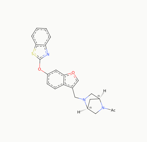 CC(=O)N1C[C@@H]2C[C@H]1CN2Cc1coc2cc(Oc3nc4ccccc4s3)ccc12